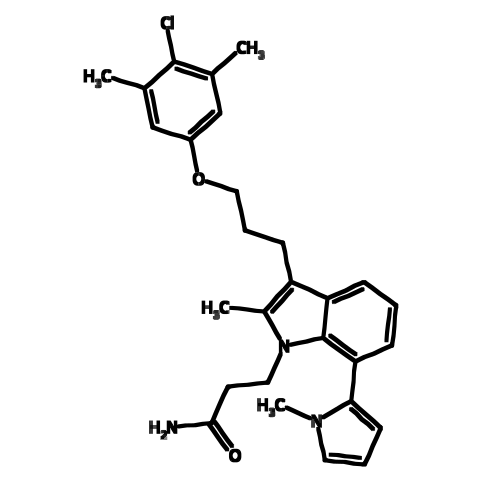 Cc1cc(OCCCc2c(C)n(CCC(N)=O)c3c(-c4cccn4C)cccc23)cc(C)c1Cl